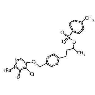 Cc1ccc(S(=O)(=O)OC(C)CCc2ccc(COc3cnn(C(C)(C)C)c(=O)c3Cl)cc2)cc1